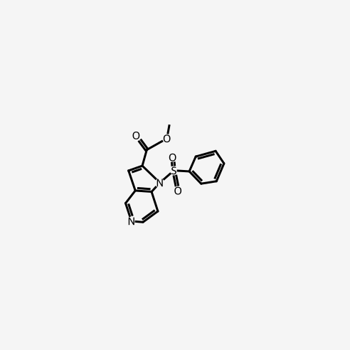 COC(=O)c1cc2cnccc2n1S(=O)(=O)c1ccccc1